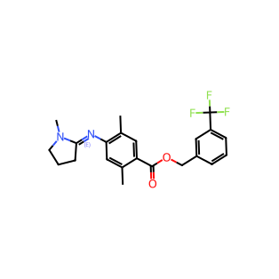 Cc1cc(C(=O)OCc2cccc(C(F)(F)F)c2)c(C)cc1/N=C1\CCCN1C